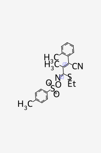 CCSC(=N\OS(=O)(=O)c1ccc(C)cc1)/C(C)=C(\C#N)c1ccccc1C